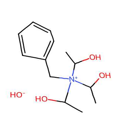 CC(O)[N+](Cc1ccccc1)(C(C)O)C(C)O.[OH-]